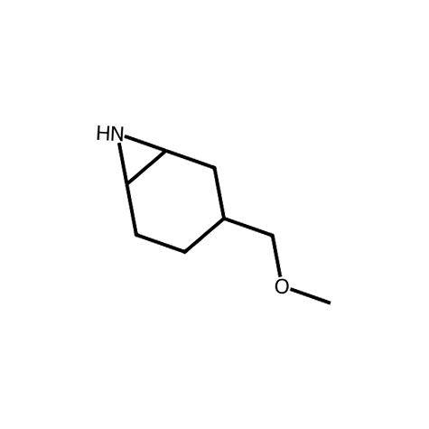 COCC1CCC2NC2C1